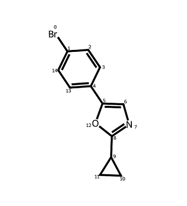 Brc1ccc(-c2cnc(C3CC3)o2)cc1